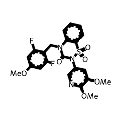 COc1cc(F)c(CN2C(=O)N(c3cnc(OC)c(OC)c3)S(=O)(=O)c3ccccc32)c(F)c1